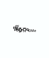 COCOC1CCC(c2ccc(OC(F)(F)C(F)C(F)(F)F)cc2)CC1